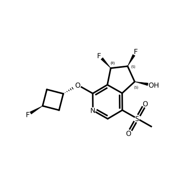 CS(=O)(=O)c1cnc(O[C@H]2C[C@H](F)C2)c2c1[C@H](O)[C@H](F)[C@@H]2F